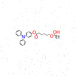 CCC(O)OCCCCCC(=O)Oc1ccc(N(c2ccccc2)c2ccccc2)cc1